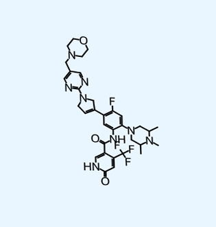 CC1CN(c2cc(F)c(C3=CCN(c4ncc(CN5CCOCC5)cn4)C3)cc2NC(=O)c2c[nH]c(=O)cc2C(F)(F)F)CC(C)N1C